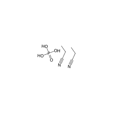 CCC#N.CCC#N.O=P(O)(O)O